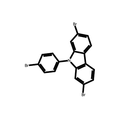 Brc1ccc(-n2c3cc(Br)ccc3c3ccc(Br)cc32)cc1